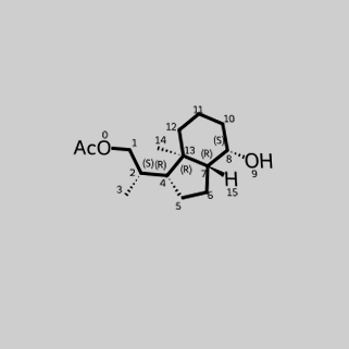 CC(=O)OC[C@@H](C)[C@H]1CC[C@H]2[C@@H](O)CCC[C@]12C